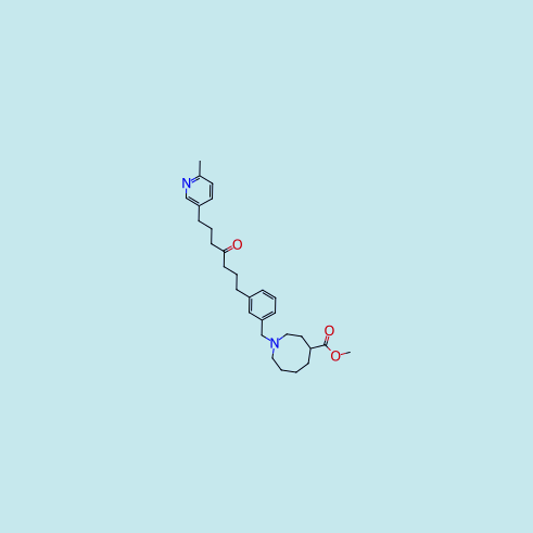 COC(=O)C1CCCCN(Cc2cccc(CCCC(=O)CCCc3ccc(C)nc3)c2)CC1